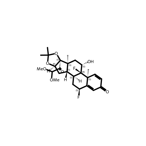 COC(OC)C(=O)[C@@]12OC(C)(C)O[C@@H]1C[C@H]1[C@@H]3C[C@H](F)C4=CC(=O)C=C[C@]4(C)[C@@]3(F)[C@@H](O)C[C@@]12C